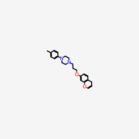 Cc1ccc(N2CCN(CCCOc3ccc4c(c3)OC=CC4)CC2)cc1